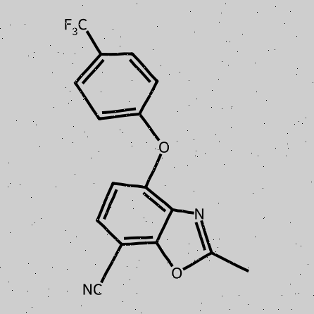 Cc1nc2c(Oc3ccc(C(F)(F)F)cc3)ccc(C#N)c2o1